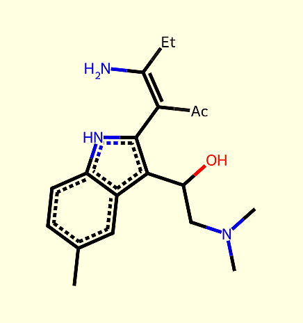 CCC(N)=C(C(C)=O)c1[nH]c2ccc(C)cc2c1C(O)CN(C)C